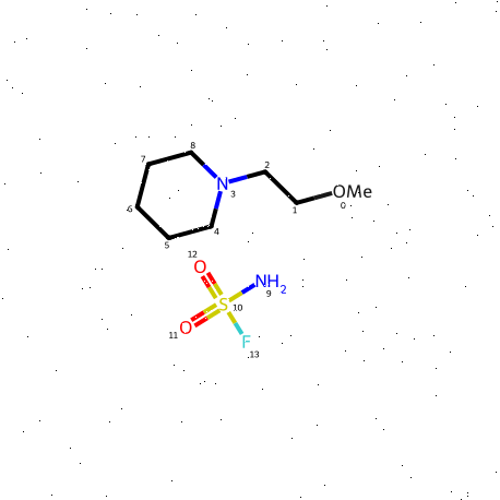 COCCN1CCCCC1.NS(=O)(=O)F